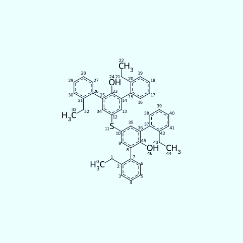 CCc1ccccc1-c1cc(Sc2cc(-c3ccccc3CC)c(O)c(-c3ccccc3CC)c2)cc(-c2ccccc2CC)c1O